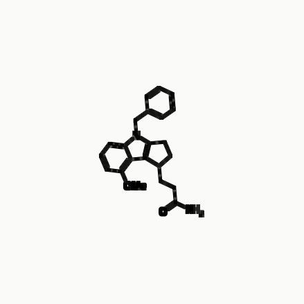 COc1cccc2c1c1c(n2Cc2ccccc2)CCC1CCC(N)=O